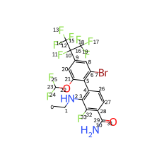 CCNc1c(-c2c(Br)cc(C(F)(C(F)(F)F)C(F)(F)F)cc2OC(F)F)ccc(C(N)=O)c1F